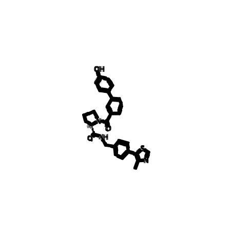 Cc1ncsc1-c1ccc(CNC(=O)[C@@H]2CCCN2C(=O)c2cccc(-c3ccc(O)cc3)c2)cc1